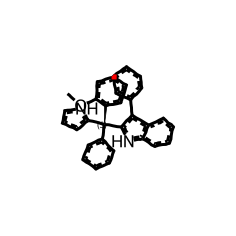 COc1ccccc1[C@@](c1ccccc1)(c1ccc[nH]1)c1[nH]c2ccccc2c1-c1ccccc1